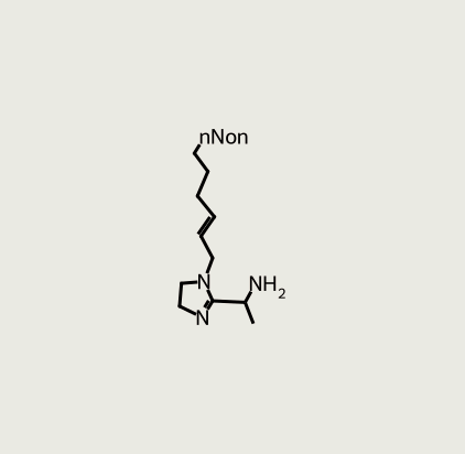 CCCCCCCCCCCCC=CCN1CCN=C1C(C)N